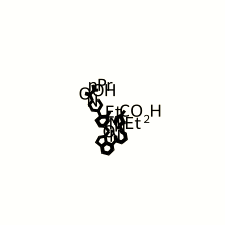 CCCC(O)C(=O)N1CCC(c2ccc(OC3CCc4cccc(-c5cccc(-n6ncc(C(=O)O)c6CC)n5)c43)cc2CC)CC1